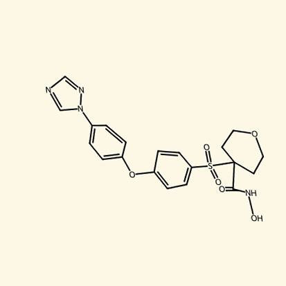 O=C(NO)C1(S(=O)(=O)c2ccc(Oc3ccc(-n4cncn4)cc3)cc2)CCOCC1